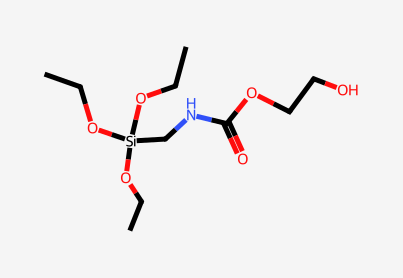 CCO[Si](CNC(=O)OCCO)(OCC)OCC